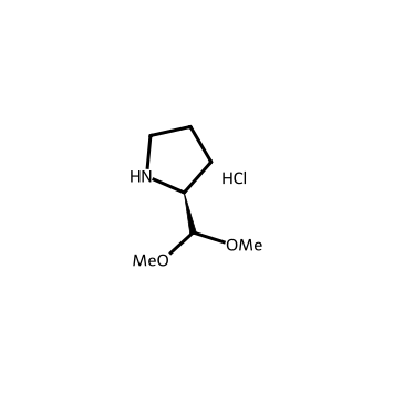 COC(OC)[C@@H]1CCCN1.Cl